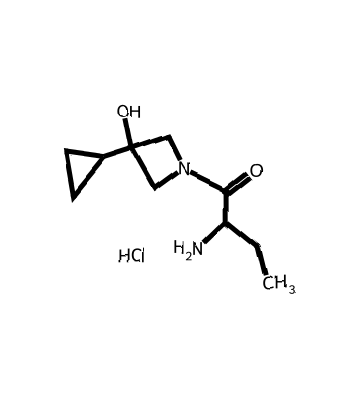 CCC(N)C(=O)N1CC(O)(C2CC2)C1.Cl